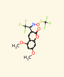 COc1cc(OC)c2cc(/C(=N\OSC(F)(F)F)C(F)(F)F)c(=O)oc2c1